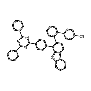 N#Cc1ccc(-c2ccccc2-c2ccc3c(oc4ccccc43)c2-c2ccc(-c3nc(-c4ccccc4)nc(-c4ccccc4)n3)cc2)cc1